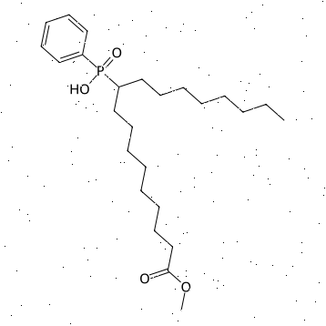 CCCCCCCCC(CCCCCCCCC(=O)OC)P(=O)(O)c1ccccc1